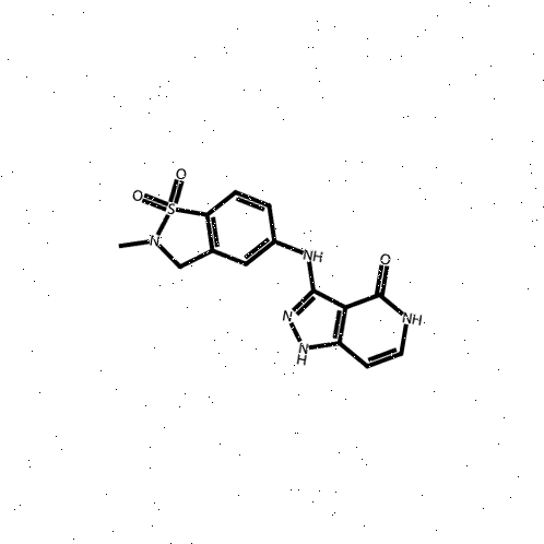 CN1Cc2cc(Nc3n[nH]c4cc[nH]c(=O)c34)ccc2S1(=O)=O